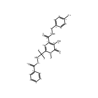 Cn1c(C(C)(C)NOC(=O)c2ccccc2)nc(C(=O)NCc2ccc(F)cc2)c(O)c1=O